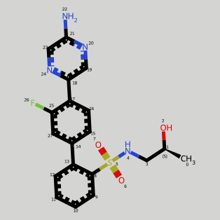 C[C@H](O)CNS(=O)(=O)c1ccccc1-c1ccc(-c2cnc(N)cn2)c(F)c1